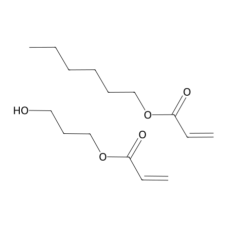 C=CC(=O)OCCCCCC.C=CC(=O)OCCCO